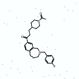 CC(=O)N1CCC(CCC(=O)c2ccc3c(c2)CN(Cc2ccc(F)cc2)CCC3)CC1